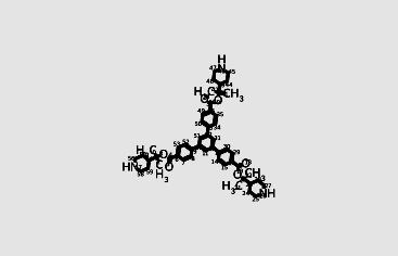 CC(C)(OC(=O)c1ccc(-c2cc(-c3ccc(C(=O)OC(C)(C)C4CCNCC4)cc3)cc(-c3ccc(C(=O)OC(C)(C)C4CCNCC4)cc3)c2)cc1)C1CCNCC1